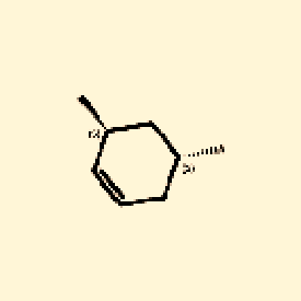 C[C@@H]1CC=C[C@@H](C)C1